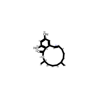 CC1CCC/C=C/c2cc(O)cc(O)c2C(=O)OC(C)CCC1